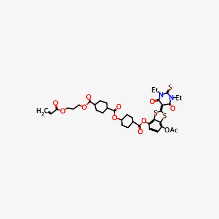 C=CC(=O)OCCCOC(=O)C1CCC(C(=O)OC2CCC(C(=O)Oc3ccc(OC(C)=O)c4c3SC(=C3C(=O)N(CC)C(=S)N(CC)C3=O)S4)CC2)CC1